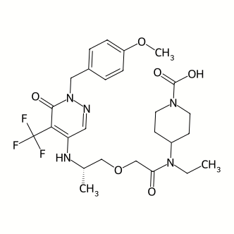 CCN(C(=O)COC[C@H](C)Nc1cnn(Cc2ccc(OC)cc2)c(=O)c1C(F)(F)F)C1CCN(C(=O)O)CC1